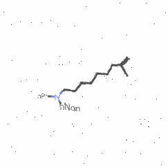 C=C(C)CCCCCCCN(CCC)CCCCCCCCC